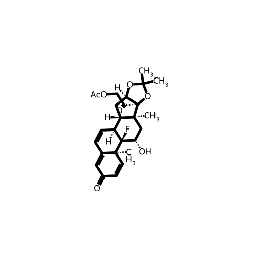 CC(=O)OCC(=O)[C@@]12OC(C)(C)O[C@@H]1C[C@H]1[C@@H]3C=CC4=CC(=O)C=C[C@]4(C)[C@@]3(F)[C@@H](O)C[C@@]12C